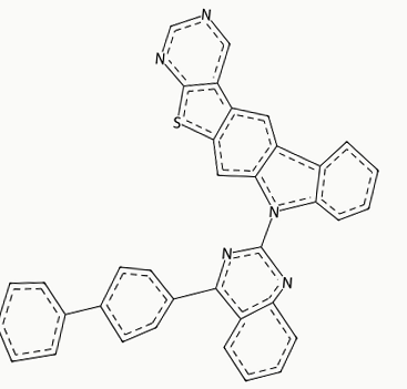 c1ccc(-c2ccc(-c3nc(-n4c5ccccc5c5cc6c(cc54)sc4ncncc46)nc4ccccc34)cc2)cc1